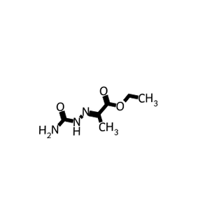 CCOC(=O)/C(C)=N/NC(N)=O